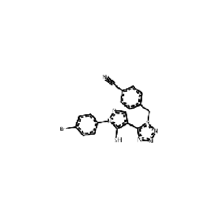 N#Cc1ccc(Cn2nnnc2-c2cnn(-c3ccc(Br)cc3)c2S)cc1